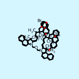 C=C(/C=C/C=C1/N(COCN2/C(=C/C=C/C(=C)C(C)(Cc3ccccc3)c3c(C)ccc4ccc(Br)cc34)C(C)(C)c3c2ccc2ccccc32)c2ccc3ccccc3c2C1(C)C)C(C)(Cc1ccccc1)c1c(C)ccc2ccc(Br)cc12